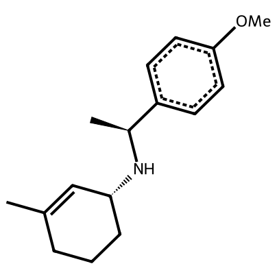 COc1ccc([C@H](C)N[C@H]2C=C(C)CCC2)cc1